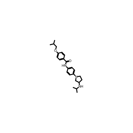 CC(C)COc1ccc(C(=O)Nc2ccc(N3CCC(NC(C)C)C3)cc2)cc1